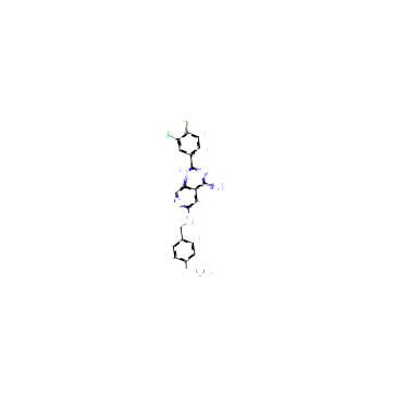 COc1ccc(CNc2cc3c(N)nc(-c4ccc(Br)c(Cl)c4)nc3cn2)cc1